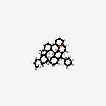 c1ccc(-c2ccc3oc4c5ccccc5ccc4c3c2-c2c3ccccc3c(-c3ccccc3)c3ccccc23)cc1